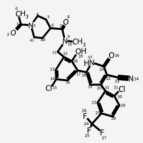 CC(=O)N1CCC(C(=O)N(C)Cc2cc(Cl)cc(-c3cc(-c4cc(C(F)(F)F)ccc4Cl)c(C#N)c(=O)[nH]3)c2O)CC1